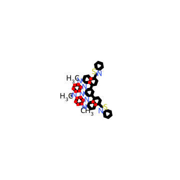 CN1c2ccccc2N(c2c(-c3ccc(-c4nc5ccccc5s4)cc3)cc(-c3ccc(-c4nc5ccccc5s4)cc3)c(N3c4ccccc4N(C)c4ccccc43)c2N2c3ccccc3N(C)c3ccccc32)c2ccccc21